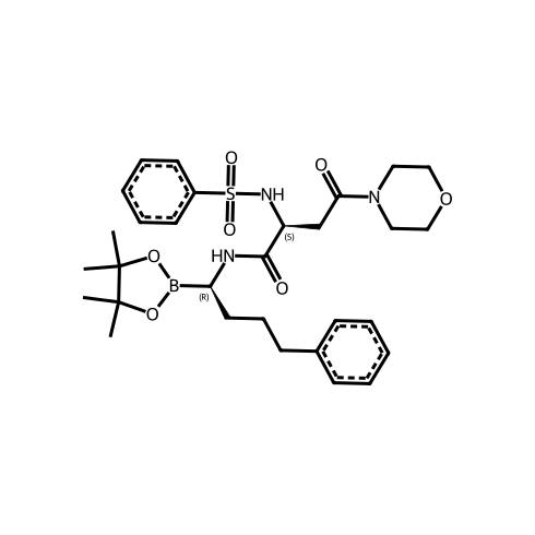 CC1(C)OB([C@H](CCCc2ccccc2)NC(=O)[C@H](CC(=O)N2CCOCC2)NS(=O)(=O)c2ccccc2)OC1(C)C